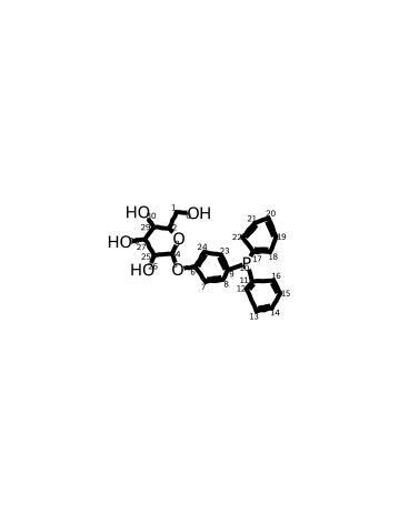 OCC1OC(Oc2ccc(P(c3ccccc3)c3ccccc3)cc2)C(O)C(O)C1O